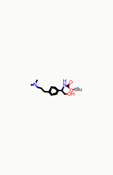 CN(C)CCCc1ccc(C(CO)NC(=O)OC(C)(C)C)cc1